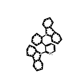 C=C(/C(=C\C=C/C)c1ccccc1-n1c2ccccc2c2ccccc21)n1c2ccccc2c2ccccc21